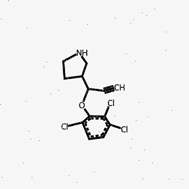 C#CC(Oc1c(Cl)ccc(Cl)c1Cl)C1CCNC1